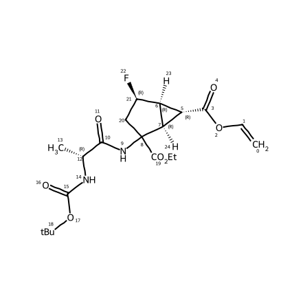 C=COC(=O)[C@H]1[C@H]2[C@@H]1C(NC(=O)[C@@H](C)NC(=O)OC(C)(C)C)(C(=O)OCC)C[C@H]2F